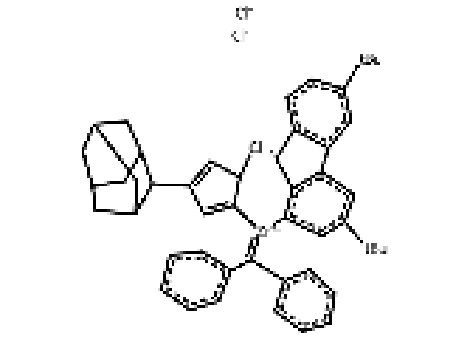 CC1C=C(C2C3CC4CC(C3)CC2C4)C=[C]1[Zr+2](=[C](c1ccccc1)c1ccccc1)[c]1cc(C(C)(C)C)cc2c1Cc1ccc(C(C)(C)C)cc1-2.[Cl-].[Cl-]